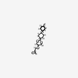 Cc1ccc(C2CCC(C3OCC(OCC4CO4)CO3)CC2)cc1